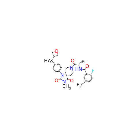 CC(C)C(NC(=O)c1cc(C(F)(F)F)ccc1F)C(=O)N1CCC2(CC1)C(=O)N(C)C(=O)N2c1ccc([AsH]C2COC2)cc1